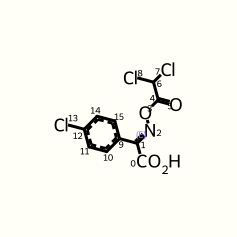 O=C(O)/C(=N/OC(=O)C(Cl)Cl)c1ccc(Cl)cc1